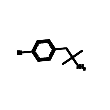 CCc1ccc(CC(C)(C)N)cc1